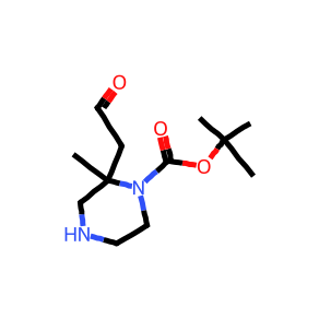 CC(C)(C)OC(=O)N1CCNCC1(C)CC=O